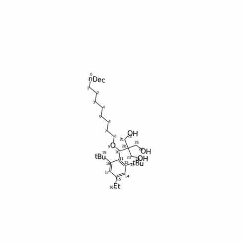 CCCCCCCCCCCCCCCCCCOC(c1c(C(C)(C)C)cc(CC)cc1C(C)(C)C)C(CO)(CO)CO